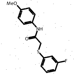 COc1ccc(NC(=O)CSc2cccc(F)c2)cc1